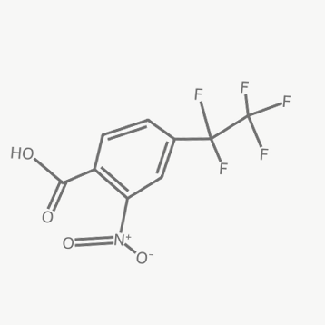 O=C(O)c1ccc(C(F)(F)C(F)(F)F)cc1[N+](=O)[O-]